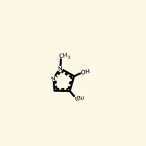 Cn1ncc(C(C)(C)C)c1O